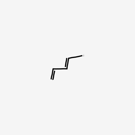 [C]=CC=C[CH]